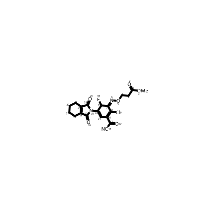 COC(=O)CCON=C1C(Cl)=C(C(=O)C#N)C=C(N2C(=O)C3=C(CCCC3)C2=O)C1F